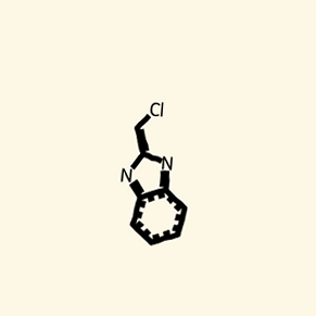 ClC=C1N=c2ccccc2=N1